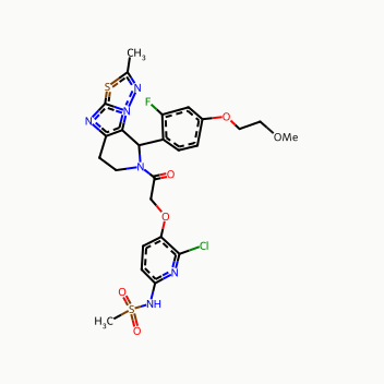 COCCOc1ccc(C2c3c(nc4sc(C)nn34)CCN2C(=O)COc2ccc(NS(C)(=O)=O)nc2Cl)c(F)c1